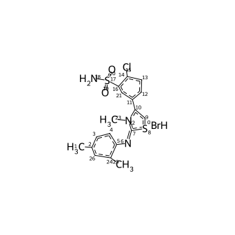 Br.Cc1ccc(/N=c2/scc(-c3ccc(Cl)c(S(N)(=O)=O)c3)n2C)c(C)c1